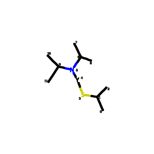 CC(C)[S][Y][N](C(C)C)C(C)C